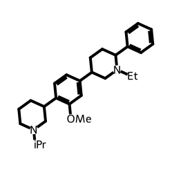 CCN1CC(c2ccc(C3CCCN(C(C)C)C3)c(OC)c2)CCC1c1ccccc1